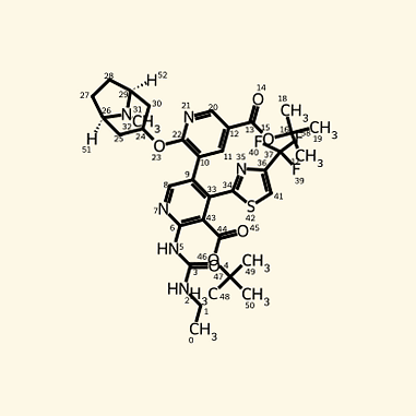 CCNC(=O)Nc1ncc(-c2cc(C(=O)OC(C)(C)C)cnc2OC2C[C@H]3CC[C@@H](C2)N3C)c(-c2nc(C(F)(F)F)cs2)c1C(=O)OC(C)(C)C